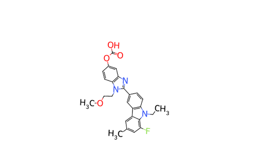 CCn1c2ccc(-c3nc4cc(OC(=O)O)ccc4n3CCOC)cc2c2cc(C)cc(F)c21